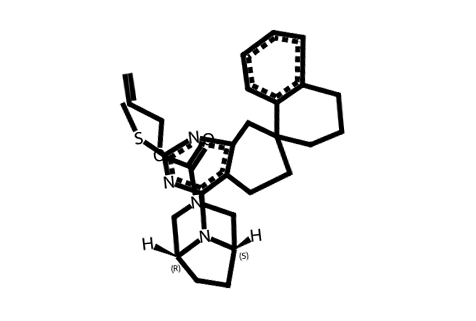 C=CCOC(=O)N1C[C@H]2CC[C@@H](C1)N2c1nc(SC)nc2c1CCC1(CCCc3ccccc31)C2